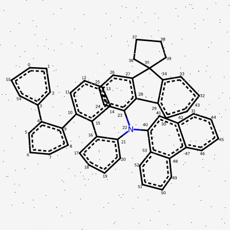 c1ccc(-c2ccccc2-c2ccccc2-c2ccccc2N(c2cccc3c2-c2ccccc2C32CCCC2)c2cc3ccccc3c3ccccc23)cc1